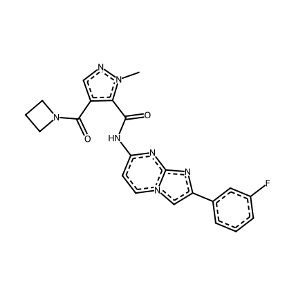 Cn1ncc(C(=O)N2CCC2)c1C(=O)Nc1ccn2cc(-c3cccc(F)c3)nc2n1